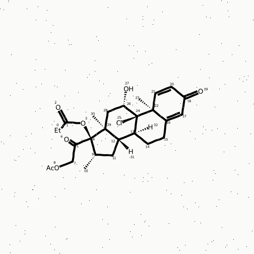 CCC(=O)O[C@]1(C(=O)COC(C)=O)[C@@H](C)C[C@H]2[C@@H]3CCC4=CC(=O)C=C[C@]4(C)[C@@]3(Cl)[C@@H](O)C[C@@]21C